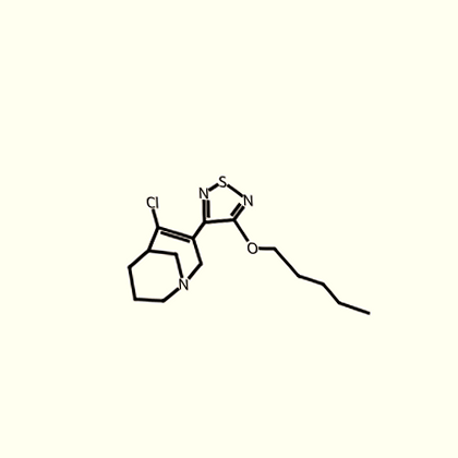 CCCCCOc1nsnc1C1=C(Cl)C2CCCN(C1)C2